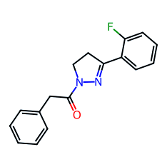 O=C(Cc1ccccc1)N1CCC(c2ccccc2F)=N1